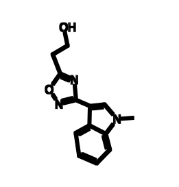 Cn1cc(-c2noc(CCO)n2)c2ccccc21